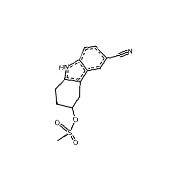 CS(=O)(=O)OC1CCc2[nH]c3ccc(C#N)cc3c2C1